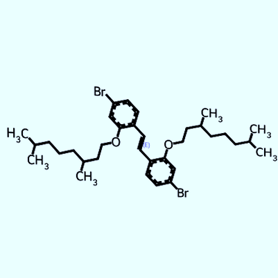 CC(C)CCCC(C)CCOc1cc(Br)ccc1/C=C/c1ccc(Br)cc1OCCC(C)CCCC(C)C